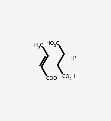 CC=CC(=O)[O-].O=C(O)CCC(=O)O.[K+]